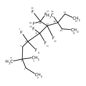 CCC(C)(C)CC(F)(F)C(F)(F)C(F)(C(F)(F)F)C(C)(CC)CC